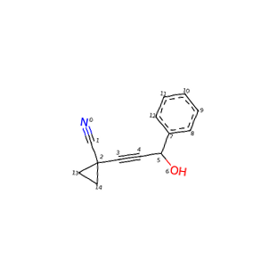 N#CC1(C#CC(O)c2ccccc2)CC1